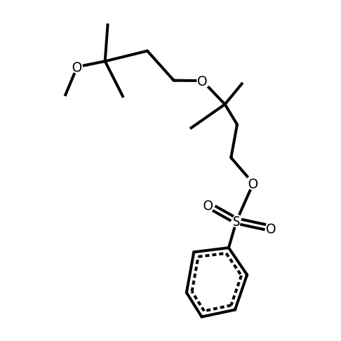 COC(C)(C)CCOC(C)(C)CCOS(=O)(=O)c1ccccc1